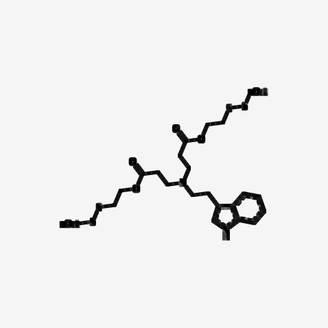 CCCCCCCCSSCCOC(=O)CCN(CCC(=O)OCCSSCCCCCCCC)CCc1c[nH]c2ccccc12